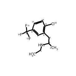 CCNC(C)Cc1cc(C(F)(F)F)ccc1Cl